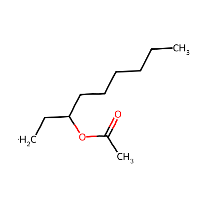 [CH2]CC(CCCCCC)OC(C)=O